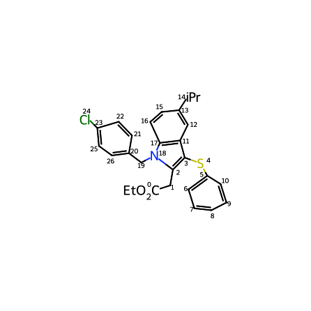 CCOC(=O)Cc1c(Sc2ccccc2)c2cc(C(C)C)ccc2n1Cc1ccc(Cl)cc1